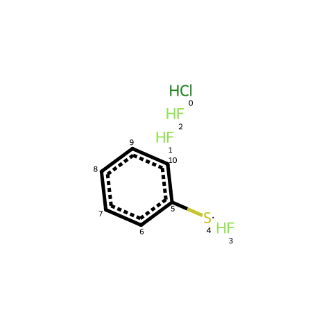 Cl.F.F.F.[S]c1ccccc1